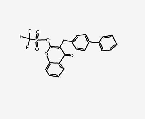 O=c1c(Cc2ccc(-c3ccccc3)cc2)c(OS(=O)(=O)C(F)(F)F)oc2ccccc12